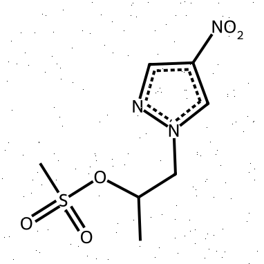 CC(Cn1cc([N+](=O)[O-])cn1)OS(C)(=O)=O